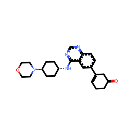 O=C1CCC=C(c2ccc3ncnc(N[C@H]4CC[C@H](N5CCOCC5)CC4)c3c2)C1